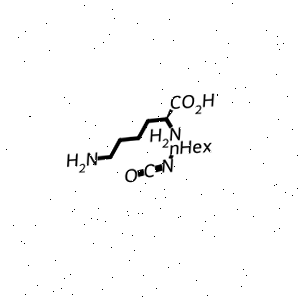 CCCCCCN=C=O.NCCCC[C@H](N)C(=O)O